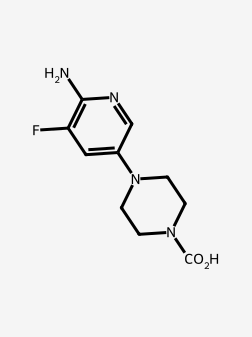 Nc1ncc(N2CCN(C(=O)O)CC2)cc1F